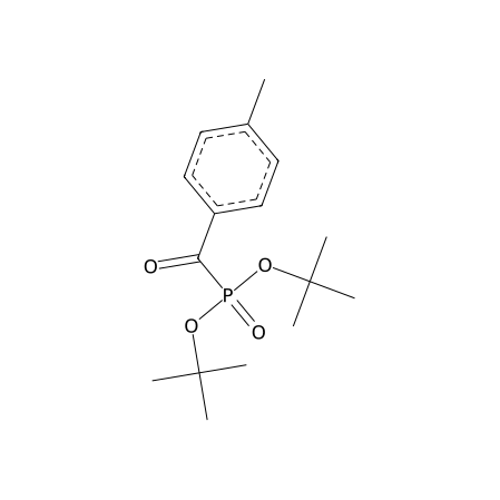 Cc1ccc(C(=O)P(=O)(OC(C)(C)C)OC(C)(C)C)cc1